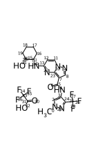 Cn1cc(NC(=O)c2cnn3ccc(N[C@H]4CCCC[C@H]4O)nc23)c(C(F)(F)F)n1.O=C(O)C(F)(F)F